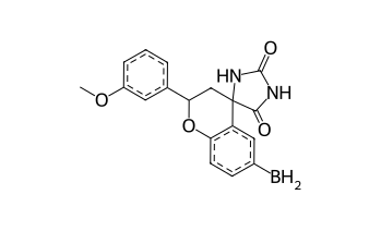 Bc1ccc2c(c1)C1(CC(c3cccc(OC)c3)O2)NC(=O)NC1=O